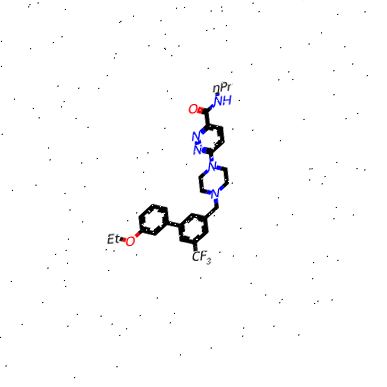 CCCNC(=O)c1ccc(N2CCN(Cc3cc(-c4cccc(OCC)c4)cc(C(F)(F)F)c3)CC2)nn1